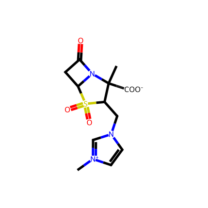 C[n+]1ccn(CC2C(C)(C(=O)[O-])N3C(=O)CC3S2(=O)=O)c1